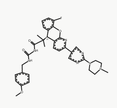 COc1ccc(CNC(=O)NC(=O)C(C)(C)[C@@H]2c3ccc(-c4cnc(N5CCN(C)CC5)nc4)nc3Oc3c(F)cccc32)cc1